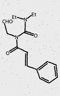 CCN(CC)C(=O)N(C[C]=O)C(=O)/C=C/c1ccccc1